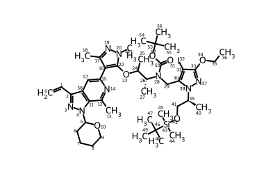 C=Cc1nn(C2CCCCO2)c2c(C)nc(-c3c(C)nn(C)c3OC(C)[C@@H](C)N(Cc3c(I)c(OCC)nn3[C@@H](C)CO[Si](C)(C)C(C)(C)C)C(=O)OC(C)(C)C)cc12